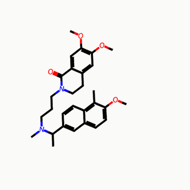 COc1cc2c(cc1OC)C(=O)N(CCCN(C)C(C)c1ccc3c(C)c(OC)ccc3c1)CC2